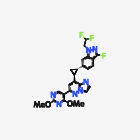 COc1ncc(-c2cc([C@H]3C[C@@H]3c3ccc4c(F)nn(CC(F)F)c4c3)c3nccn3n2)c(OC)n1